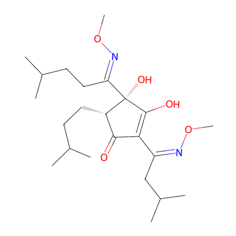 CO/N=C(/CC(C)C)C1=C(O)[C@](O)(/C(CCC(C)C)=N/OC)[C@@H](CCC(C)C)C1=O